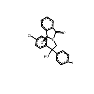 O=C1c2ccccc2C(=O)N1CC(O)(c1ccc(Cl)cc1)c1ccc(I)cc1